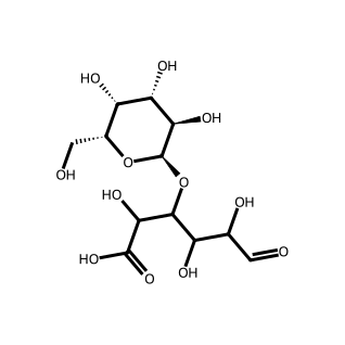 O=CC(O)C(O)C(O[C@H]1O[C@H](CO)[C@H](O)[C@H](O)[C@H]1O)C(O)C(=O)O